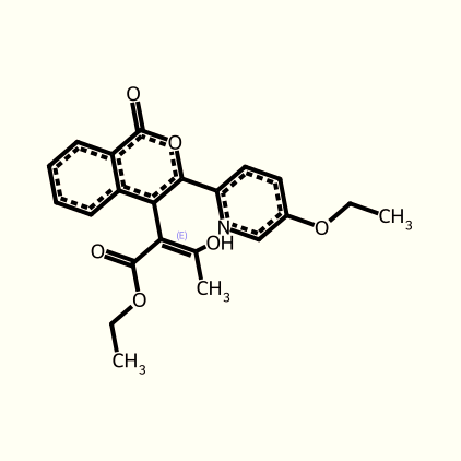 CCOC(=O)/C(=C(\C)O)c1c(-c2ccc(OCC)cn2)oc(=O)c2ccccc12